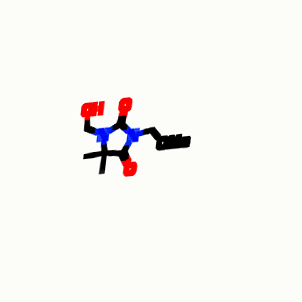 COCN1C(=O)N(CO)C(C)(C)C1=O